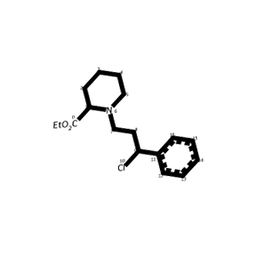 CCOC(=O)C1CCCCN1CCC(Cl)c1ccccc1